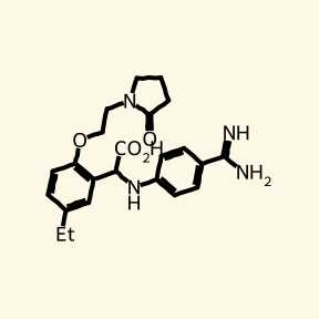 CCc1ccc(OCCN2CCCC2=O)c(C(Nc2ccc(C(=N)N)cc2)C(=O)O)c1